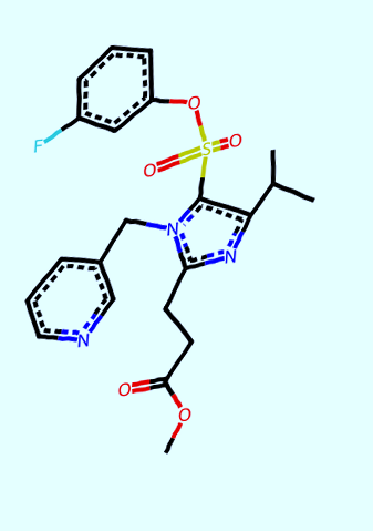 COC(=O)CCc1nc(C(C)C)c(S(=O)(=O)Oc2cccc(F)c2)n1Cc1cccnc1